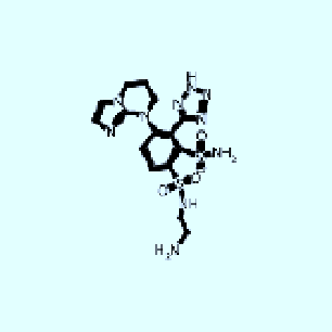 NCCNS(=O)(=O)c1ccc(N2CCCn3ccnc32)c(-c2nn[nH]n2)c1S(N)(=O)=O